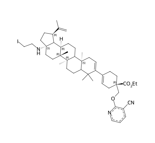 C=C(C)[C@@H]1CC[C@]2(NCCI)CC[C@]3(C)[C@H](CCC4[C@@]5(C)CC=C(C6=CC[C@](COc7ncccc7C#N)(C(=O)OCC)CC6)C(C)(C)C5CC[C@]43C)C12